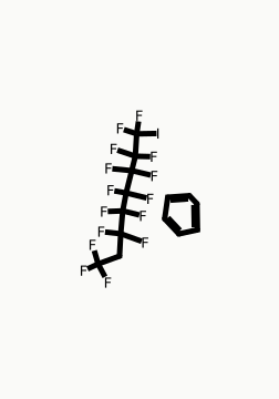 FC(F)(F)CC(F)(F)C(F)(F)C(F)(F)C(F)(F)C(F)(F)C(F)(F)I.c1ccccc1